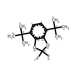 CC(C)(C)c1ccc(C(C)(C)C)c2c1OC(F)(F)O2